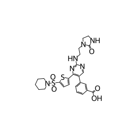 O=C(O)c1cccc(-c2cnc(NCCN3CCNC3=O)nc2-c2ccc(S(=O)(=O)N3CCCCC3)s2)c1